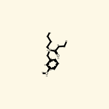 CCCCN(Cc1cccc(OC)c1)C(=O)CCC